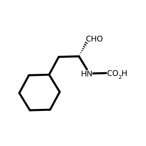 O=C[C@@H](CC1CCCCC1)NC(=O)O